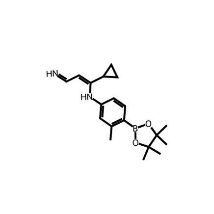 Cc1cc(N/C(=C\C=N)C2CC2)ccc1B1OC(C)(C)C(C)(C)O1